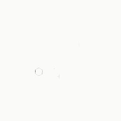 CCCCCCCCCCC1c2ccccc2CC1C(=O)O